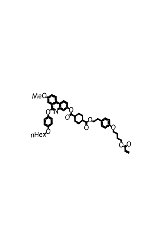 C=CC(=O)OCCCCOc1ccc(CCOC(=O)C2CCC(C(=O)Oc3ccc4c(c3)nc(Oc3ccc(OCCCCCC)cc3)c3cc(OC)ccc34)CC2)cc1